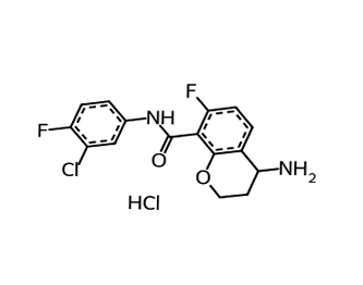 Cl.NC1CCOc2c1ccc(F)c2C(=O)Nc1ccc(F)c(Cl)c1